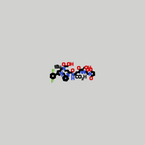 CC(C)(C)[C@H](c1cc(-c2cc(F)ccc2F)cn1Cc1ccccc1)N(CC[C@H](N)C(=O)N[C@H](CCC(=O)[C@H](CO)NC(=O)CN1C(=O)C=CC1=O)C(=O)O)C(=O)CO